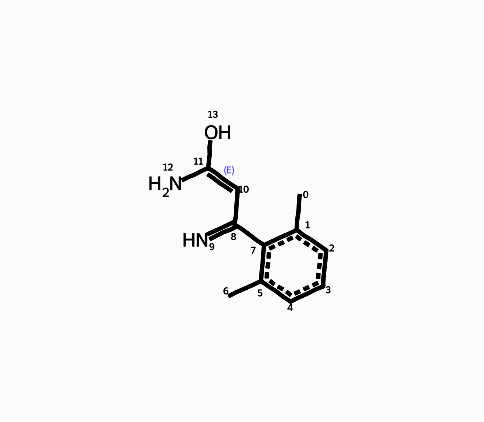 Cc1cccc(C)c1C(=N)/C=C(\N)O